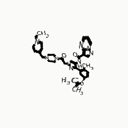 CCN1CCC(CN2CCN(C(=O)Cn3cc(NC(=O)c4cnn5cccnc45)c(-c4cc(SC(C)C)ccc4C)n3)CC2)CC1